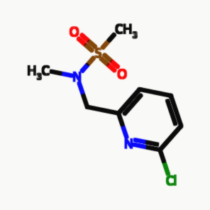 CN(Cc1cccc(Cl)n1)S(C)(=O)=O